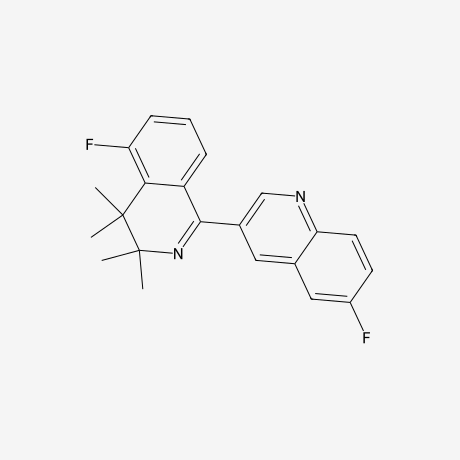 CC1(C)N=C(c2cnc3ccc(F)cc3c2)c2cccc(F)c2C1(C)C